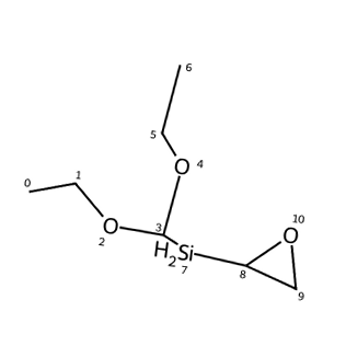 CCOC(OCC)[SiH2]C1CO1